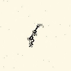 COc1cc(Cn2cnc3cc(C#CC(C)(C)N)cnc32)cc2c1OC(c1csc(C)n1)CC2